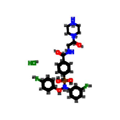 Cl.O=C(NCC(=O)N1CCNCC1)c1ccc(S(=O)(=O)N(Oc2ccc(F)cc2)c2cccc(F)c2)cc1